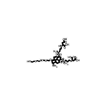 C=C(O)C(CC(=O)O)NCCCN(C)S(=O)(=O)c1cc(S(=O)(=O)N(C)CCCNC(CC(=O)O)C(=O)O)c2ccc3c(OCCOCCOCCOCCO)cc(N)c4ccc1c2c43